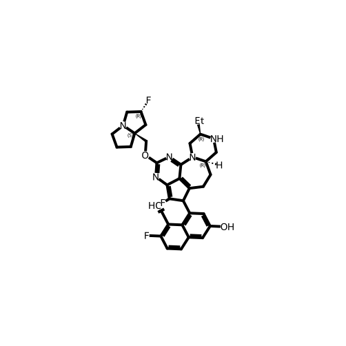 C#Cc1c(F)ccc2cc(O)cc(C3C(F)=c4nc(OC[C@@]56CCCN5C[C@H](F)C6)nc5c4=C3CC[C@@H]3CN[C@H](CC)CN53)c12